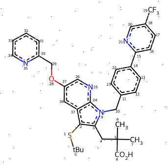 CC(C)(C)Sc1c(CC(C)(C)C(=O)O)n(Cc2ccc(-c3ccc(C(F)(F)F)cn3)cc2)c2ncc(OCc3ccccn3)cc12